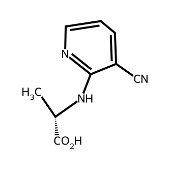 C[C@H](Nc1ncccc1C#N)C(=O)O